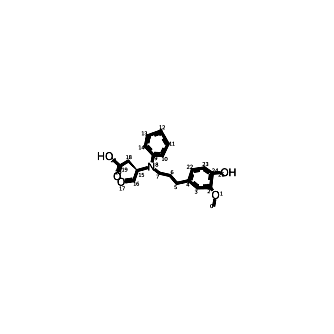 COc1cc(CCCN(c2ccccc2)[C@@H](C=O)CC(=O)O)ccc1O